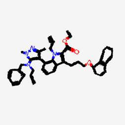 C=CCN(Cc1ccccc1)c1c(-c2cccc3c(CCCOc4cccc5ccccc45)c(C(=O)OCC)n(CC=C)c23)c(C)nn1C